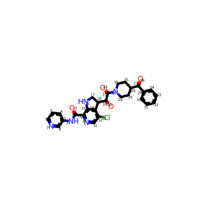 O=C(Nc1cccnc1)c1ncc(Cl)c2c1NCC2C(=O)C(=O)N1CCC(C(=O)c2ccccc2)CC1